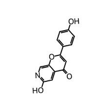 O=c1cc(-c2ccc(O)cc2)oc2cnc(O)cc12